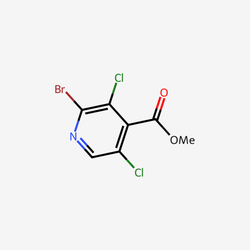 COC(=O)c1c(Cl)cnc(Br)c1Cl